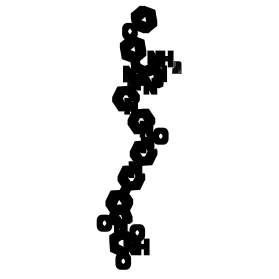 Nc1ncnc2c1c(-c1ccc(Oc3ccccc3)cc1)nn2[C@@H]1CCCN(C2CCN(C(=O)N3CCC(N4CCC(c5ccc6c(c5)CN(C5CCC(=O)NC5=O)C6=O)CC4)CC3)CC2)C1